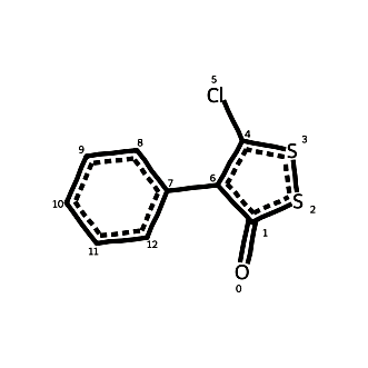 O=c1ssc(Cl)c1-c1ccccc1